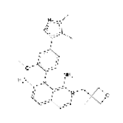 COc1cc(-c2cnn(C)c2C)ccc1N1C(N)=NC=C2C=CN(CC3(C)COC3)C(N)=C21